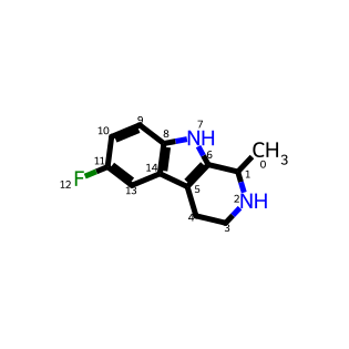 CC1NCCc2c1[nH]c1ccc(F)cc21